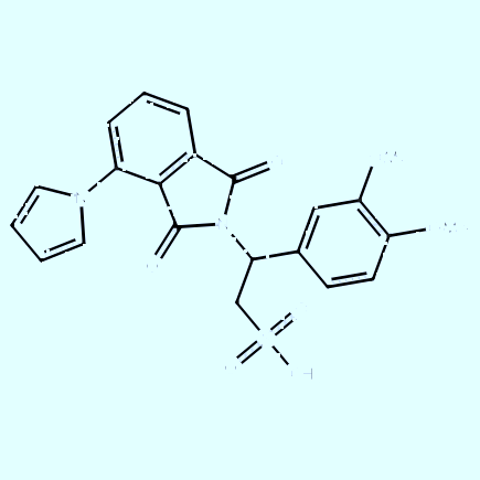 COc1ccc(C(CS(C)(=O)=O)N2C(=O)c3cccc(-n4cccc4)c3C2=O)cc1OC